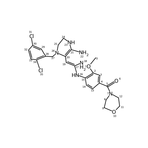 COc1cc(C(=O)N2CCOCC2)ccc1N/C(N)=C/C1=C(N)NCCN1Cc1cc(Cl)ccc1Cl